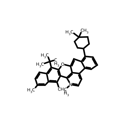 Cc1ccc2c(C(C)(C)C)c3c(c(C)c2c1)-c1c2c(cc4c(C5CCC(C)(C)CC5)cccc4c2cc[n+]1C)O3